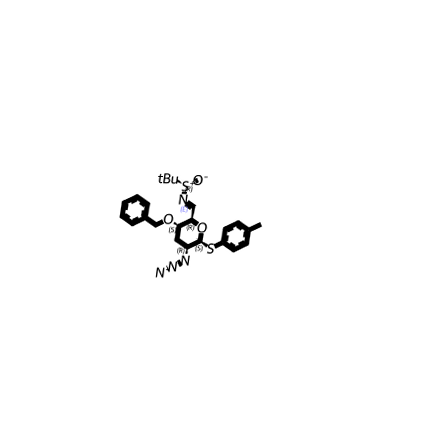 Cc1ccc(S[C@@H]2O[C@H](/C=N/[S@@+]([O-])C(C)(C)C)[C@@H](OCc3ccccc3)C[C@H]2N=[N+]=[N-])cc1